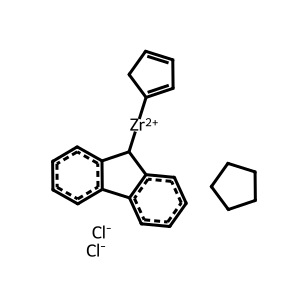 C1=CC[C]([Zr+2][CH]2c3ccccc3-c3ccccc32)=C1.C1CCCC1.[Cl-].[Cl-]